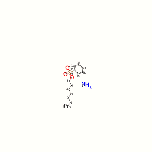 CC(C)CCCCCCOS(=O)(=O)c1ccccc1.N